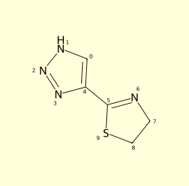 c1[nH]nnc1C1=NCCS1